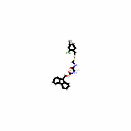 C[C@H](NC(=O)OCC1c2ccccc2-c2ccccc21)C(=O)NCSCCc1ccc([N+](=O)[O-])cc1Cl